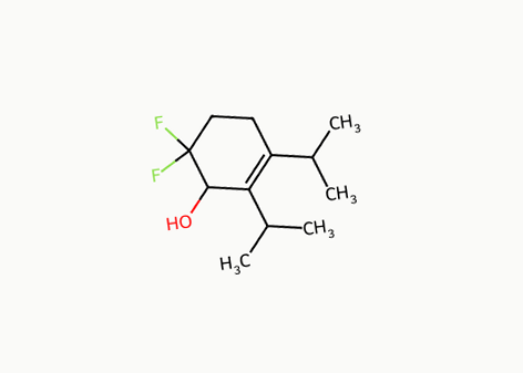 CC(C)C1=C(C(C)C)C(O)C(F)(F)CC1